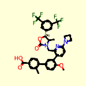 COc1ccc(-c2ccc(C(=O)O)cc2C)cc1-c1ccc(N2CCC2)nc1CN1C(=O)O[C@H](c2cc(C(F)(F)F)cc(C(F)(F)F)c2)C1C